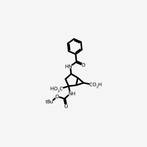 CC(C)(C)OC(=O)NC1(C(=O)O)CC(NC(=O)c2ccccc2)C2C(C(=O)O)C21